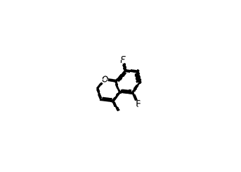 CC1=CCOc2c(F)ccc(F)c21